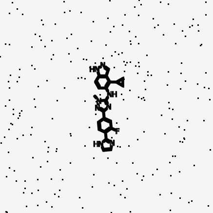 Cn1nc(-c2ccc(-c3ncc[nH]3)c(F)c2)nc1Nc1ccc2[nH]ncc2c1C1CC1